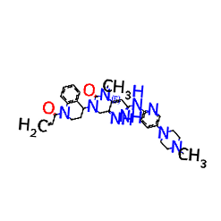 C=CC(=O)N1CCC(N2CC(=N)/C(=C\C(=N)Nc3ccc(N4CCN(C)CC4)cn3)N(C)C2=O)c2ccccc21